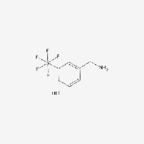 Cl.NCc1cccc(S(F)(F)(F)(F)F)c1